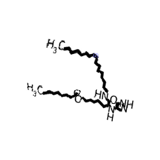 CCCCCCCC/C=C\CCCCCCCCNC(=O)C(CCCCCCOC(=O)CCCCCCCC)Nc1cn[nH]c1